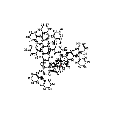 Cc1cc(C)c(N2c3cc4c(cc3B3c5cc6c(cc5N(c5c(C)cc(C)cc5C)c5cc(N(c7ccccc7)c7ccccc7)cc2c53)Oc2cc(N(c3ccccc3)c3ccccc3)cc3c2B6c2sc5ccccc5c2O3)B2c3sc5ccccc5c3Oc3cc(N(c5ccccc5)c5ccccc5)cc(c32)O4)c(C)c1